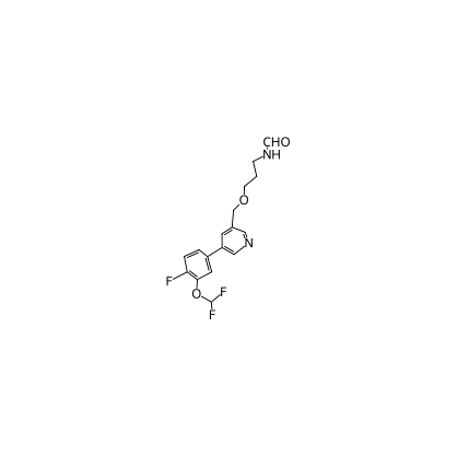 O=CNCCCOCc1cncc(-c2ccc(F)c(OC(F)F)c2)c1